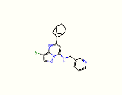 Brc1cnn2c(NCc3cccnc3)cc(C3CC4CCC3C4)nc12